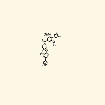 CCOc1cc(C(=O)N2CCC3(CC2)CC(=O)c2cc(-c4cnn(C)c4)ccc2O3)cc(OC)c1-c1cnn(C)c1